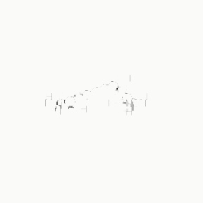 CC(CCCCCCCC(=O)OC1CC(C)(C)NC(C)(C)C1)C(=O)OC1CC(C)(C)NC(C)(C)C1